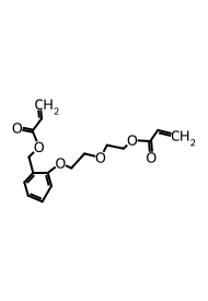 C=CC(=O)OCCOCCOc1ccccc1COC(=O)C=C